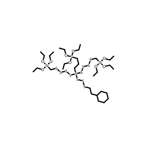 CCO[Si](CCCS(SSSCCC1CCCCC1)(SSSSC[Si](OCC)(OCC)OCC)SSSSC[Si](OCC)(OCC)OCC)(OCC)OCC